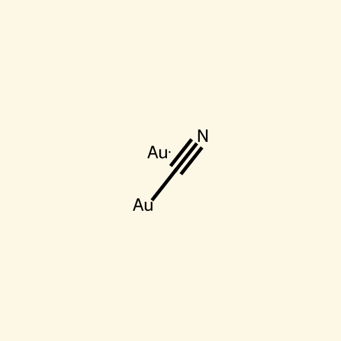 N#[C][Au].[Au]